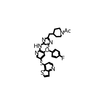 CC(=O)N1CCC(Cc2nsc(Nc3ncc(Sc4ccnc5ccsc45)cc3Oc3ccc(F)cc3)n2)CC1